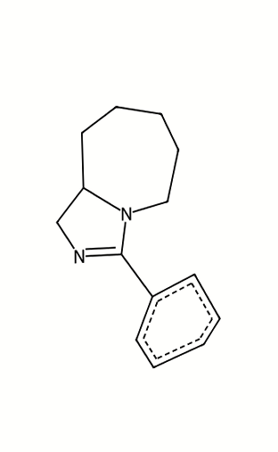 c1ccc(C2=NCC3CCCCCN23)cc1